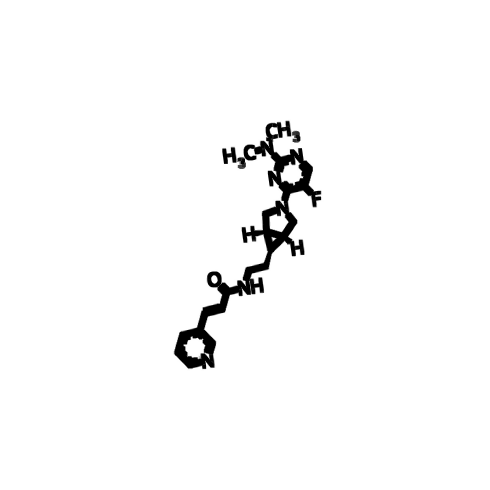 CN(C)c1ncc(F)c(N2C[C@@H]3[C@@H](CCNC(=O)/C=C/c4cccnc4)[C@@H]3C2)n1